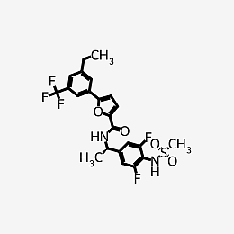 CCc1cc(-c2ccc(C(=O)N[C@H](C)c3cc(F)c(NS(C)(=O)=O)c(F)c3)o2)cc(C(F)(F)F)c1